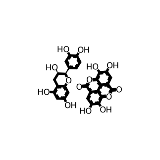 O=c1oc2c(O)c(O)cc3c(=O)oc4c(O)c(O)cc1c4c23.Oc1cc(O)c2c(c1)O[C@H](c1ccc(O)c(O)c1)[C@@H](O)C2